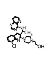 CC(Nc1ncnc2cccnc12)c1cc2cccc(Cl)c2nc1N1CCN(CCO)CC1